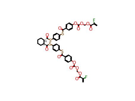 C=C(F)C(=O)OCOC(=O)Oc1ccc(C(=O)Sc2ccc(SC(=O)[C@H]3CCCC[C@@H]3C(=O)Sc3ccc(SC(=O)c4ccc(OC(=O)OCOC(=O)C(=C)F)cc4)cc3)cc2)cc1